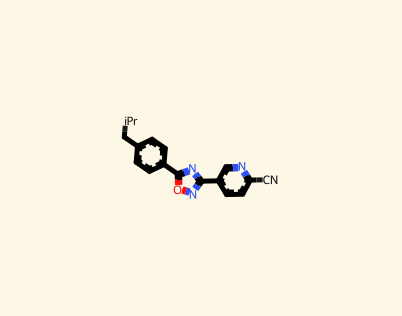 CC(C)Cc1ccc(-c2nc(-c3ccc(C#N)nc3)no2)cc1